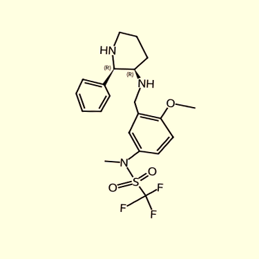 COc1ccc(N(C)S(=O)(=O)C(F)(F)F)cc1CN[C@@H]1CCCN[C@@H]1c1ccccc1